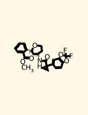 COC(=O)c1ccccc1[C@H]1C[C@@H](NC(=O)C2(c3ccc4c(c3)OC(F)(F)O4)CC2)CCO1